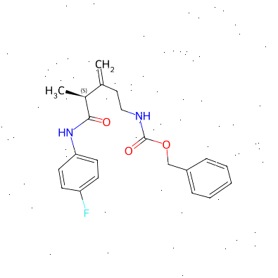 C=C(CCNC(=O)OCc1ccccc1)[C@H](C)C(=O)Nc1ccc(F)cc1